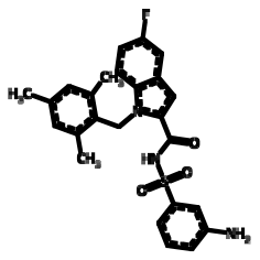 Cc1cc(C)c(Cn2c(C(=O)NS(=O)(=O)c3cccc(N)c3)cc3cc(F)ccc32)c(C)c1